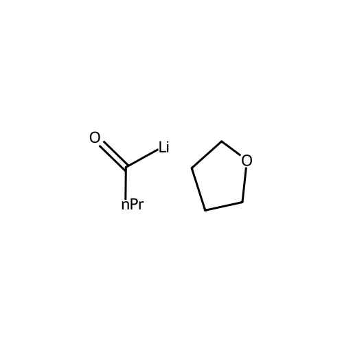 C1CCOC1.[Li][C](=O)CCC